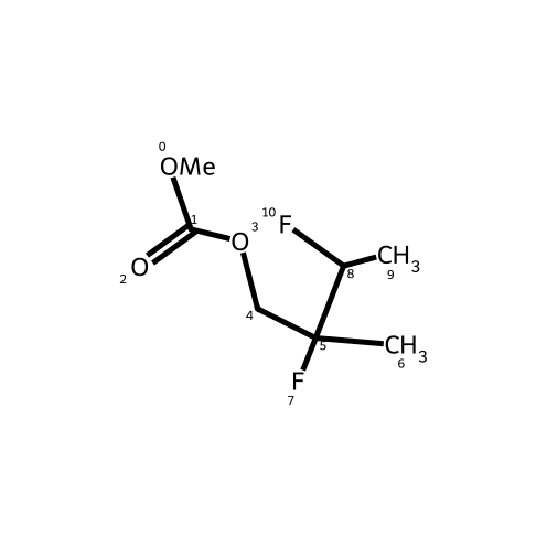 COC(=O)OCC(C)(F)C(C)F